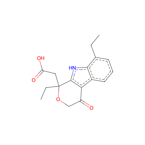 CCc1cccc2c3c([nH]c12)C(CC)(CC(=O)O)OCC3=O